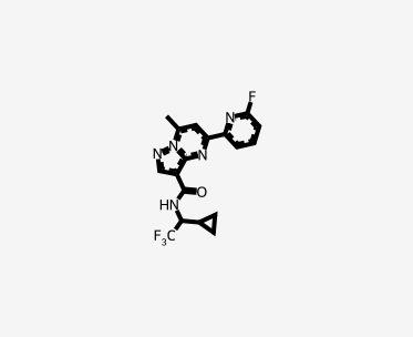 Cc1cc(-c2cccc(F)n2)nc2c(C(=O)NC(C3CC3)C(F)(F)F)cnn12